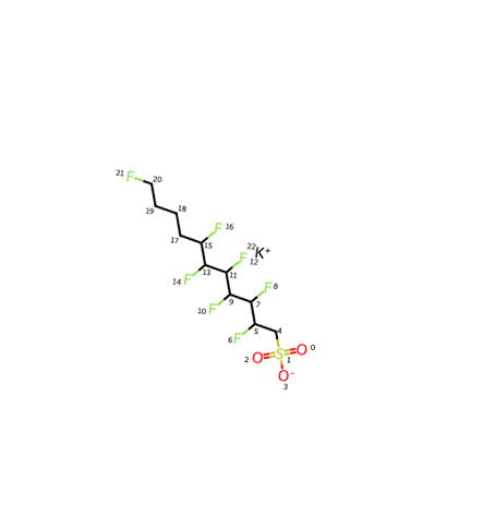 O=S(=O)([O-])CC(F)C(F)C(F)C(F)C(F)C(F)CCCCF.[K+]